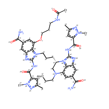 CCC(=O)NCCCOc1cc(C(N)=O)cc2nc(NC(=O)c3cc(C)nn3CC)n(CCC[C@H]3CN(CCOC)c4cc(C(N)=O)cc5nc(NC(=O)c6cc(C)nn6CC)n3c45)c12